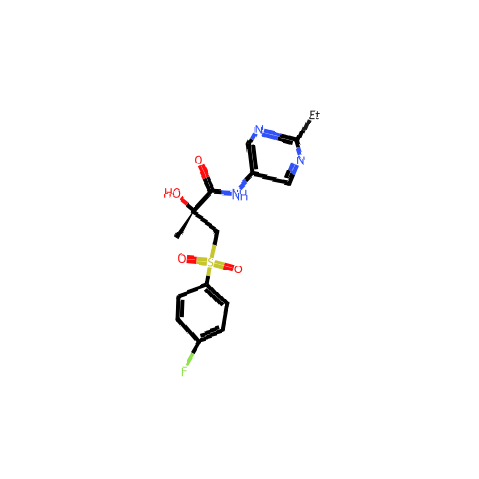 CCc1ncc(NC(=O)[C@@](C)(O)CS(=O)(=O)c2ccc(F)cc2)cn1